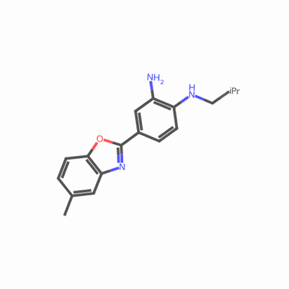 Cc1ccc2oc(-c3ccc(NCC(C)C)c(N)c3)nc2c1